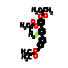 C=C(C)C(=O)OCC1Cc2ccc(-c3ccc(-c4ccc(OC(=O)C(=C)C)cc4OC(=O)C(=C)C)cc3F)cc2C1